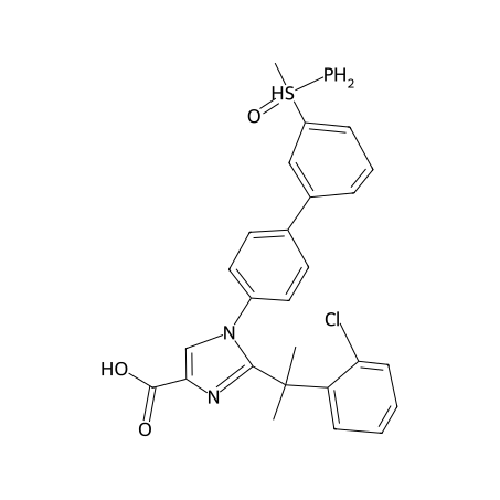 CC(C)(c1ccccc1Cl)c1nc(C(=O)O)cn1-c1ccc(-c2cccc([SH](C)(=O)P)c2)cc1